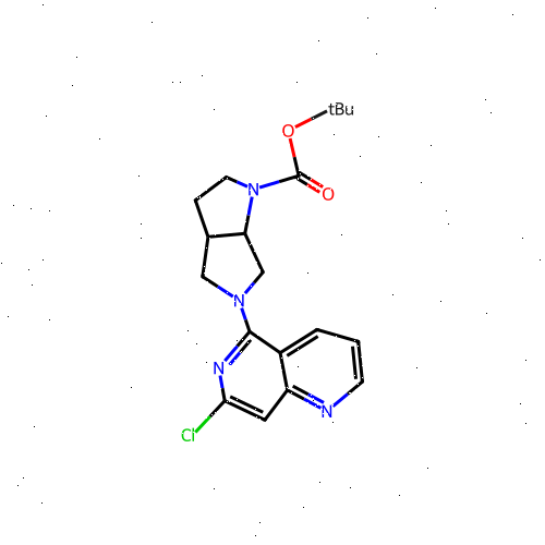 CC(C)(C)OC(=O)N1CCC2CN(c3nc(Cl)cc4ncccc34)CC21